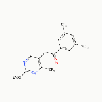 COc1ncc(CC(=O)c2cc(C(F)(F)F)cc(C(F)(F)F)c2)c(C(F)(F)F)n1